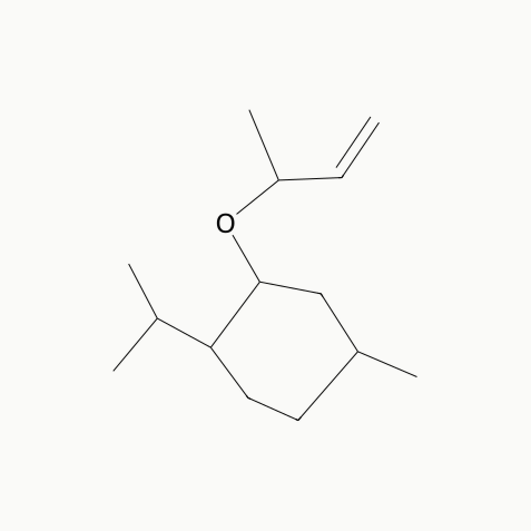 C=CC(C)OC1CC(C)CCC1C(C)C